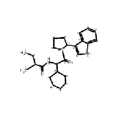 CC(CN)C(=O)NC(C(=O)N1CCCC1c1c[nH]c2ccccc12)C1CCCCC1